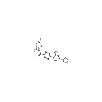 C=C(c1cnc(-c2ccc(-n3ccnc3)cc2O)nn1)C1CC2NC(C[C@@H]2F)[C@H]1F